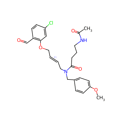 COc1ccc(CN(C/C=C/COc2cc(Cl)ccc2C=O)C(=O)CCCNC(C)=O)cc1